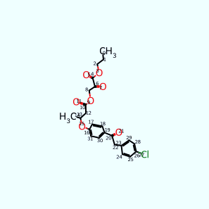 CCCOC(=O)C(=O)COC(=O)CC(C)Oc1ccc(C(=O)Cc2ccc(Cl)cc2)cc1